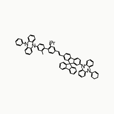 Cc1cc(N2c3ccccc3N(c3ccccc3)c3ccccc32)ccc1-c1ccc(/C=C/c2ccc3c(c2)C2(c4ccccc4-c4ccccc42)c2cc(N4c5ccccc5N(C5=CCCC=C5)c5ccccc54)ccc2-3)cc1C(C)C